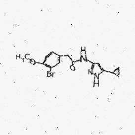 COc1ccc(CC(=O)Nc2cc(C3CC3)[nH]n2)cc1Br